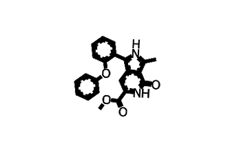 COC(=O)c1cc2c(-c3ccccc3Oc3ccccc3)[nH]c(C)c2c(=O)[nH]1